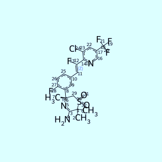 CC1(C)C(N)=N[C@](C)(c2cc(/C=C(\F)c3ncc(C(F)(F)F)cc3Cl)ccc2F)CS1(=O)=O